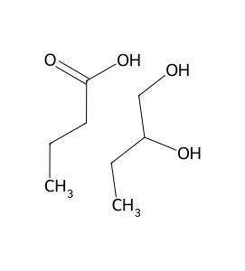 CCC(O)CO.CCCC(=O)O